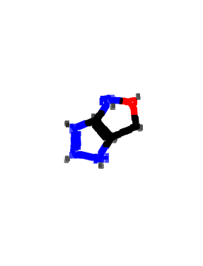 C1ONc2nn[nH]c21